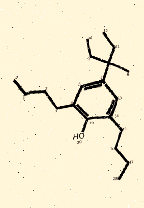 CCCCc1cc(C(C)(CC)CC)cc(CCCC)c1O